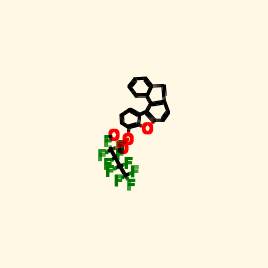 O=S(=O)(Oc1cccc2c1oc1ccc3ccc4ccccc4c3c12)C(F)(F)C(F)(F)C(F)(F)C(F)(F)F